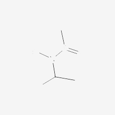 CC(C)N(Cl)S(C)=S